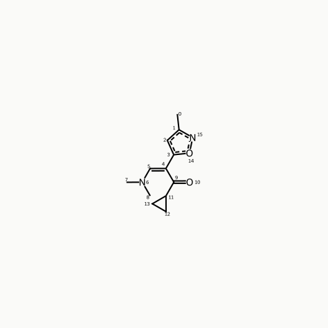 Cc1cc(C(=CN(C)C)C(=O)C2CC2)on1